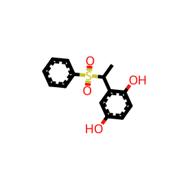 CC(c1cc(O)ccc1O)S(=O)(=O)c1ccccc1